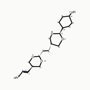 CCC/C=C/[C@H]1CO[C@H](CC[C@H]2CO[C@H](C3CCC(CCC)CC3)OC2)OC1